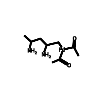 C[C](=O)[Pd]([CH2]C(N)CC(C)N)[C](C)=O